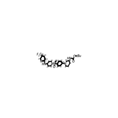 CC(C)(C)OC(=O)N[C@@H]1CCCN(c2ccc(S(=O)(=O)N3CCC(Nc4ccc(C(F)(F)F)cn4)CC3)cc2)C1